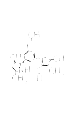 C=C1CN(c2cc(CCC)cc(C3NC(C)=CC3=C)c2)C(C)=C1C